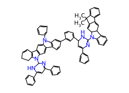 CC1(C)C2=CC3C(C=C2c2ccccc21)c1ccccc1N3C1=NC(c2ccccc2)=CC(c2cccc(-c3ccc4c5cc6c(cc5n(-c5ccccc5)c4c3)c3c(n6C4N=C(c5ccccc5)C=C(c5ccccc5)N4)CCC=C3)c2)N1